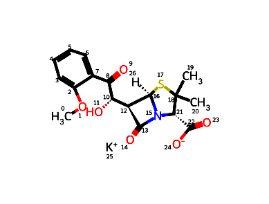 COc1ccccc1C(=O)[C@@H](O)[C@@H]1C(=O)N2[C@@H]1SC(C)(C)[C@@H]2C(=O)[O-].[K+]